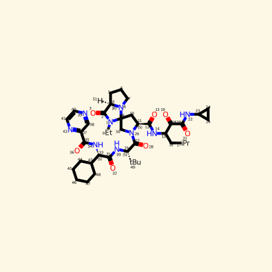 CCN1C(=O)[C@H]2CCCN2C12C[C@@H](C(=O)NC(CC(C)C)C(=O)C(=O)NC1CC1)N(C(=O)[C@@H](NC(=O)[C@@H](NC(=O)c1cnccn1)C1CCCCC1)C(C)(C)C)C2